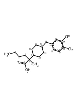 BC(CCCC)(C(=O)O)C1CCN(Cc2ccc(Cl)c(Cl)c2)CC1